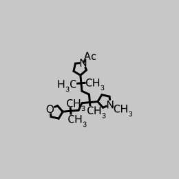 CC(=O)N1CCC(C(C)(C)CCC(C)(CCC(C)(C)C2CCOC2)C2CCN(C)C2)C1